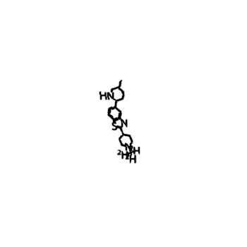 [2H]C([2H])([2H])N1CCC(c2nc3cc(C4CCC(C)CN4)ccc3s2)CC1